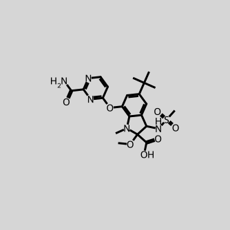 COC1(C(=O)O)C(NS(C)(=O)=O)c2cc(C(C)(C)C)cc(Oc3ccnc(C(N)=O)n3)c2N1C